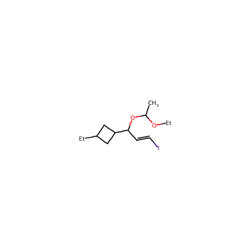 CCOC(C)OC(C=CI)C1CC(CC)C1